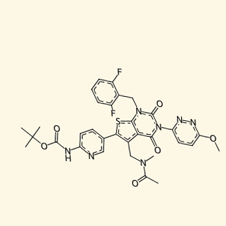 COc1ccc(-n2c(=O)c3c(CN(C)C(C)=O)c(-c4ccc(NC(=O)OC(C)(C)C)nc4)sc3n(Cc3c(F)cccc3F)c2=O)nn1